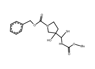 CC(C)(C)OC(=O)NC(S)C1(O)CCN(C(=O)OCc2ccccc2)C1